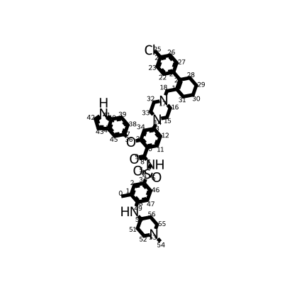 Cc1cc(S(=O)(=O)NC(=O)c2ccc(N3CCN(CC4=C(c5ccc(Cl)cc5)CCCC4)CC3)cc2Oc2ccc3[nH]ccc3c2)ccc1NC1CCN(C)CC1